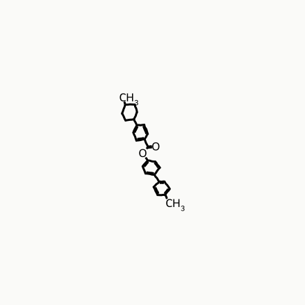 Cc1ccc(-c2ccc(OC(=O)c3ccc(C4CCC(C)CC4)cc3)cc2)cc1